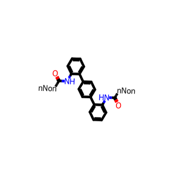 CCCCCCCCCC(=O)Nc1ccccc1-c1ccc(-c2ccccc2NC(=O)CCCCCCCCC)cc1